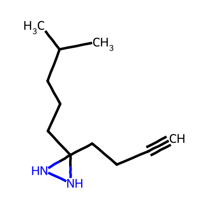 C#CCCC1(CCCC(C)C)NN1